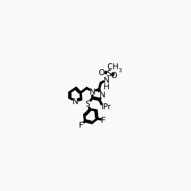 CC(C)c1nc(CNS(C)(=O)=O)n(Cc2cccnc2)c1Sc1cc(F)cc(F)c1